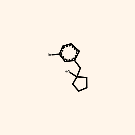 OC1(Cc2cccc(Br)c2)CCCC1